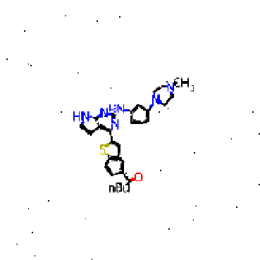 CCCCC(=O)c1ccc2sc(-c3nc(Nc4cccc(N5CCN(C)CC5)c4)nc4[nH]ccc34)cc2c1